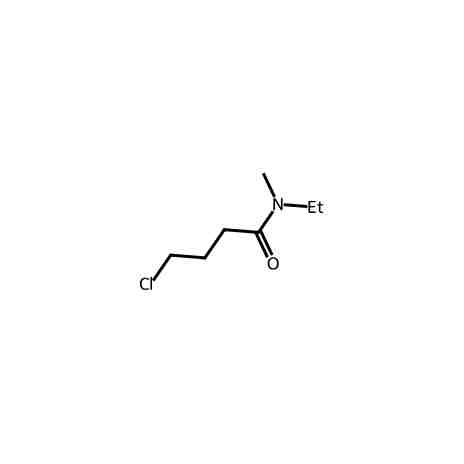 CCN(C)C(=O)CCCCl